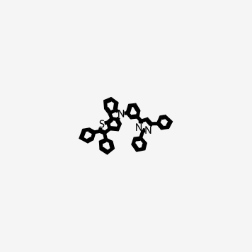 c1ccc(-c2cc(-c3cccc(-n4c5ccccc5c5c6sc(-c7ccccc7)c(-c7ccccc7)c6ccc54)c3)nc(-c3ccccc3)n2)cc1